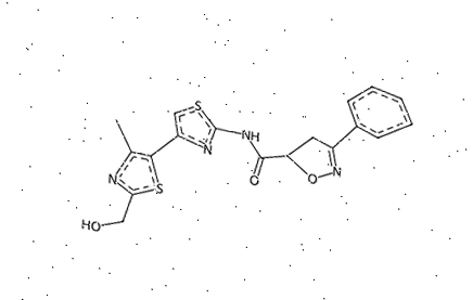 Cc1nc(CO)sc1-c1csc(NC(=O)C2CC(c3ccccc3)=NO2)n1